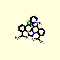 CC(C)c1cccc(C(C)C)c1-n1ccn(-c2c(C(C)C)cccc2C(C)C)[c]1=[Pd][c]1ncccc1Cl